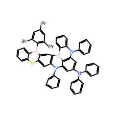 CC(C)c1cc(C(C)C)c(B2c3ccccc3Sc3cc4c(cc32)B2c3ccccc3N(c3ccccc3)c3cc(N(c5ccccc5)c5ccccc5)cc(c32)N4c2ccccc2)c(C(C)C)c1